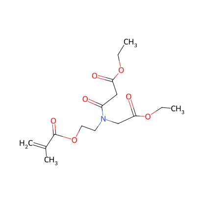 C=C(C)C(=O)OCCN(CC(=O)OCC)C(=O)CC(=O)OCC